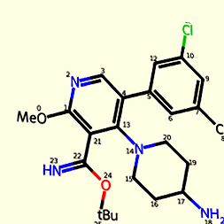 COc1ncc(-c2cc(C)cc(Cl)c2)c(N2CCC(N)CC2)c1C(=N)OC(C)(C)C